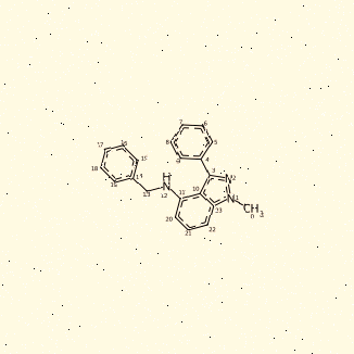 Cn1nc(-c2ccccc2)c2c(NCc3ccccc3)cccc21